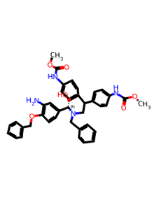 COC(=O)Nc1ccc(C(CN(Cc2ccccc2)[C@@H](CO)c2ccc(OCc3ccccc3)c(N)c2)c2ccc(NC(=O)OC)cc2)cc1